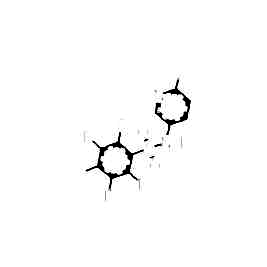 O=S(=O)(Nc1ccc(Cl)nc1)c1c(F)c(F)c(F)c(F)c1F